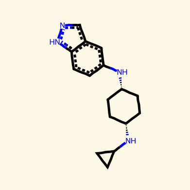 c1cc2[nH]ncc2cc1N[C@H]1CC[C@@H](NC2CC2)CC1